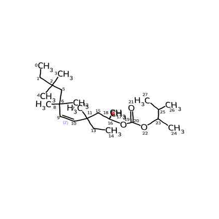 CCC(C)(C)CC(C)(C)/C=C\C(C)(CC)CC(C)(C)OC(=O)OC(C)C(C)C